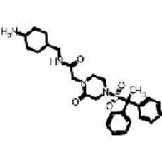 CC(c1ccccc1)(c1ccccc1)S(=O)(=O)N1CCN(CC(=O)NCC2CCC(N)CC2)C(=O)C1